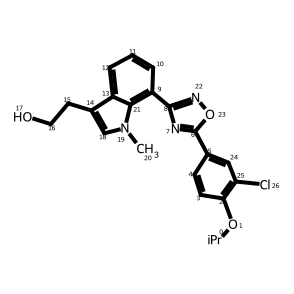 CC(C)Oc1ccc(-c2nc(-c3cccc4c(CCO)cn(C)c34)no2)cc1Cl